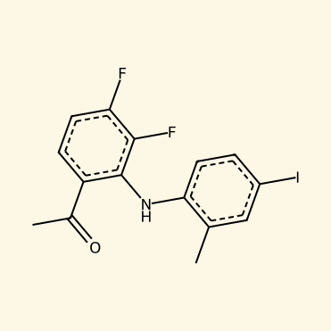 CC(=O)c1ccc(F)c(F)c1Nc1ccc(I)cc1C